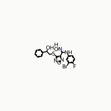 O/N=C(/Nc1ccc(F)c(Br)c1)c1nonc1SCC(O)c1ccccc1